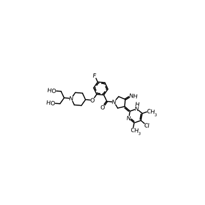 CC1=N/C(=C2\CN(C(=O)c3ccc(F)cc3OC3CCN(C(CO)CO)CC3)CC2=N)NC(C)=C1Cl